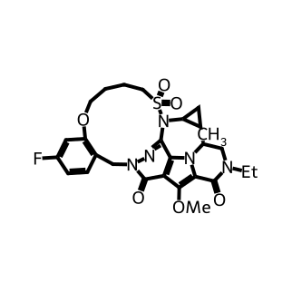 CCN1C[C@H](C)n2c(c(OC)c3c(=O)n4nc(c32)N(C2CC2)S(=O)(=O)CCCCOc2cc(F)ccc2C4)C1=O